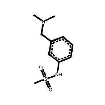 CN(C)Cc1c[c]cc(NS(C)(=O)=O)c1